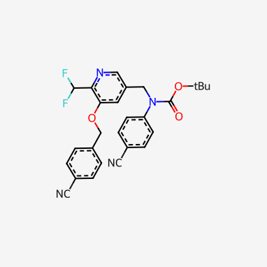 CC(C)(C)OC(=O)N(Cc1cnc(C(F)F)c(OCc2ccc(C#N)cc2)c1)c1ccc(C#N)cc1